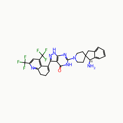 N[C@@H]1c2ccccc2CC12CCN(c1nc3[nH]nc(C4=CCCc5nc(C(F)(F)F)cc(C(F)(F)F)c54)c3c(=O)[nH]1)CC2